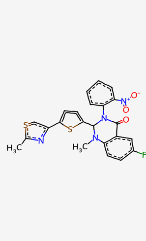 Cc1nc(C2=C=C=C(C3N(C)c4ccc(F)cc4C(=O)N3c3ccccc3[N+](=O)[O-])S2)cs1